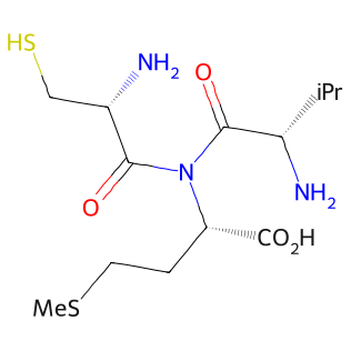 CSCC[C@@H](C(=O)O)N(C(=O)[C@@H](N)C(C)C)C(=O)[C@@H](N)CS